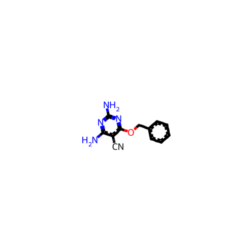 N#Cc1c(N)nc(N)nc1OCc1ccccc1